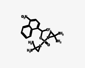 BC1(B)CN1P(=O)(OC(c1ccc([N+](=O)[O-])c2ccccc12)C(F)(F)F)N1CC1(B)B